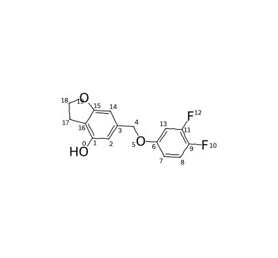 Oc1cc(COc2ccc(F)c(F)c2)cc2c1CCO2